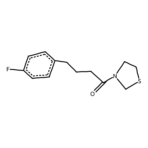 O=C(CCCc1ccc(F)cc1)N1CCSC1